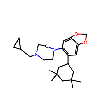 CC1(C)CC(c2cc3c(cc2N2CCN(CC4CC4)CC2)OCO3)CC(C)(C)C1